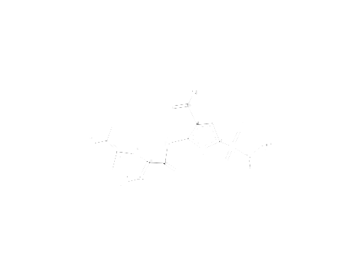 CCCCN(CC)S(=O)(=O)c1cc(C(N)=O)c(NC(=O)/C(=N/C)O/C(C)=C(/C)CC)s1